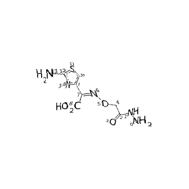 NNC(=O)CON=C(C(=O)O)c1csc(N)n1